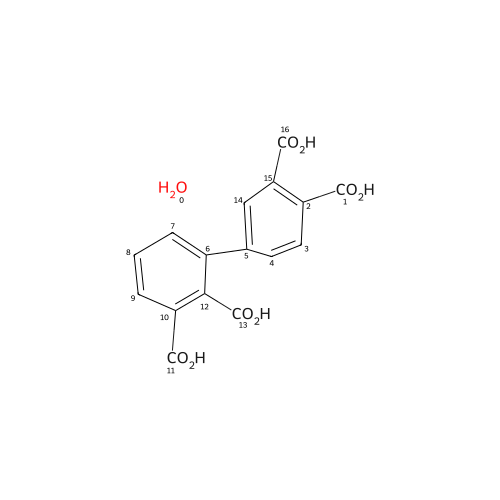 O.O=C(O)c1ccc(-c2cccc(C(=O)O)c2C(=O)O)cc1C(=O)O